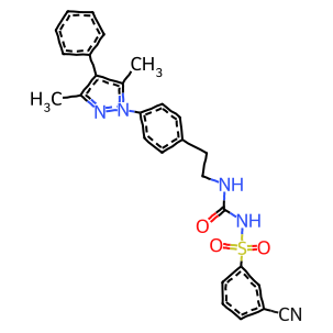 Cc1nn(-c2ccc(CCNC(=O)NS(=O)(=O)c3cccc(C#N)c3)cc2)c(C)c1-c1ccccc1